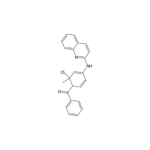 CC1(Cl)C=C(Nc2ccc3ccccc3n2)C=CC1C(=O)c1ccccc1